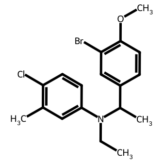 CCN(c1ccc(Cl)c(C)c1)C(C)c1ccc(OC)c(Br)c1